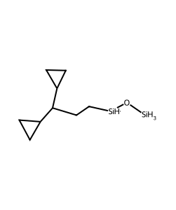 [SiH3]O[SiH]CCC(C1CC1)C1CC1